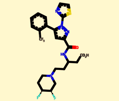 O=C(O)CC(CCN1CC[C@@H](F)[C@@H](F)C1)NC(=O)c1cc(-c2ccccc2C(F)(F)F)n(-c2nccs2)n1